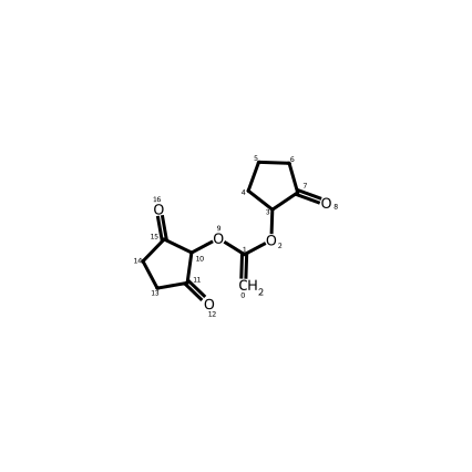 C=C(OC1CCCC1=O)OC1C(=O)CCC1=O